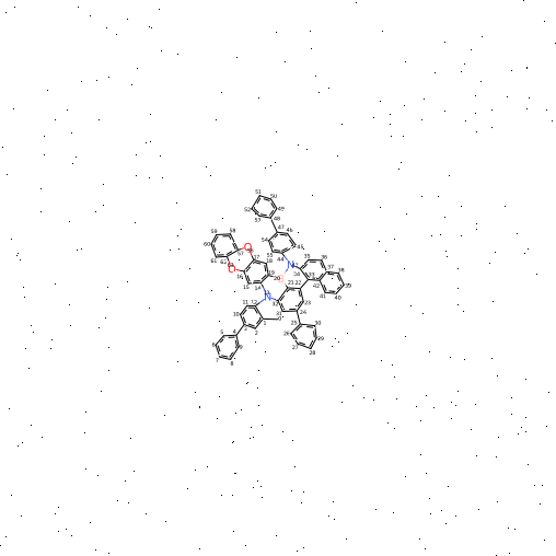 Cc1cc(-c2ccccc2)ccc1N1c2cc3c(cc2B2c4c(cc(-c5ccccc5)cc41)-c1c(ccc4ccccc14)N2c1ccc(-c2ccccc2)cc1)Oc1ccccc1O3